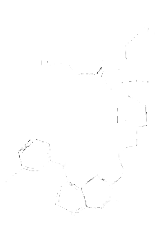 CCOC(=O)CC(C)(C(=O)OCC)N1CCC(CCOc2cc3c(Nc4cccc(Br)c4)ncnc3cc2OC)CC1